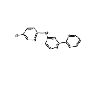 Clc1ccc(Nc2ccnc(-c3ccccn3)n2)nc1